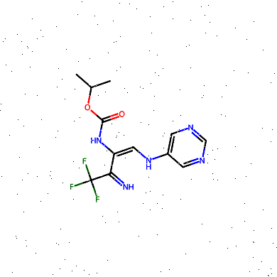 CC(C)OC(=O)N/C(=C/Nc1cncnc1)C(=N)C(F)(F)F